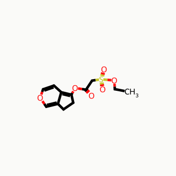 CCOS(=O)(=O)CC(=O)OC1=C2C=COC=C2CC1